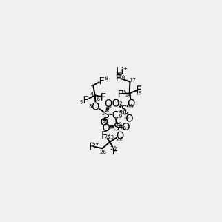 O=S(=O)(OC(F)(F)CF)[C-](S(=O)(=O)OC(F)(F)CF)S(=O)(=O)OC(F)(F)CF.[Li+]